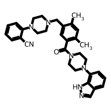 Cc1cc(C)c(C(=O)N2CCN(c3cccc4cn[nH]c34)CC2)cc1CN1CCN(c2ccccc2C#N)CC1